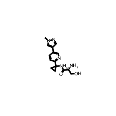 Cn1cc(-c2ccc(C3(NC(=O)[C@@H](N)CO)CC3)nc2)cn1